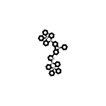 c1ccc(-n2c3ccc(-c4cccc(N5c6ccccc6[Si](c6ccccc6)(c6ccccc6)c6ccccc65)n4)cc3c3cc(N4c5ccccc5[Si](c5ccccc5)(c5ccccc5)c5ccccc54)ccc32)cc1